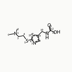 CN(C)CCSc1ncc(CNC(=O)O)s1